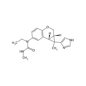 CCN(C(=O)NC)c1ccc2c(c1)[C@@H]1[C@H](CO2)C1(C)c1c[nH]cn1